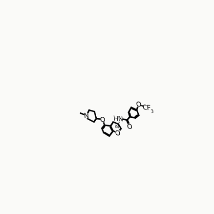 CN1CCC(Oc2cccc3c2C[C@H](NC(=O)c2ccc(OC(F)(F)F)cc2)CO3)CC1